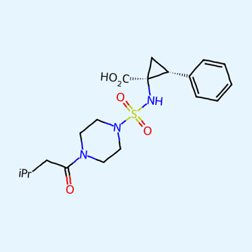 CC(C)CC(=O)N1CCN(S(=O)(=O)N[C@@]2(C(=O)O)C[C@@H]2c2ccccc2)CC1